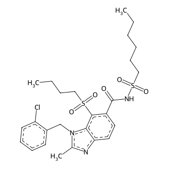 CCCCCCS(=O)(=O)NC(=O)c1ccc2nc(C)n(Cc3ccccc3Cl)c2c1S(=O)(=O)CCCC